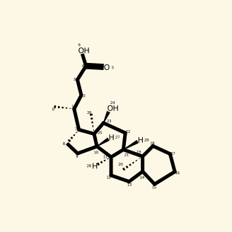 C[C@H](CCC(=O)O)[C@H]1CC[C@H]2[C@@H]3CCC4CCCC[C@]4(C)[C@H]3C[C@H](O)[C@]12C